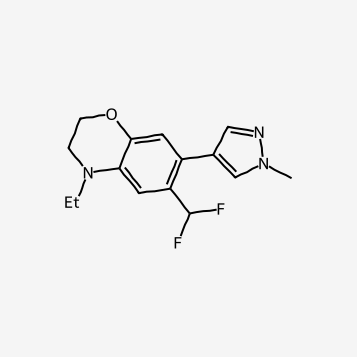 CCN1CCOc2cc(-c3cnn(C)c3)c(C(F)F)cc21